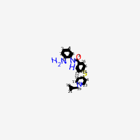 Nc1ccccc1NC(=O)c1ccc(SC2CCN(CC3CC3)CC2)cc1